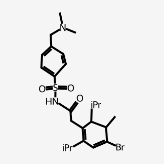 CC(C)C1=C(CC(=O)NS(=O)(=O)c2ccc(CN(C)C)cc2)C(C(C)C)C(C)C(Br)=C1